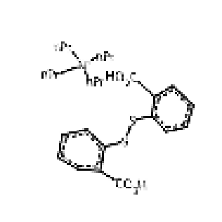 CCC[N+](CCC)(CCC)CCC.O=C(O)c1ccccc1SSc1ccccc1C(=O)O